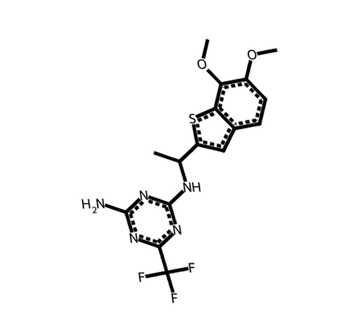 COc1ccc2cc(C(C)Nc3nc(N)nc(C(F)(F)F)n3)sc2c1OC